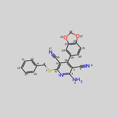 N#Cc1c(N)nc(SCc2ccccc2)c(C#N)c1-c1ccc2c(c1)OCO2